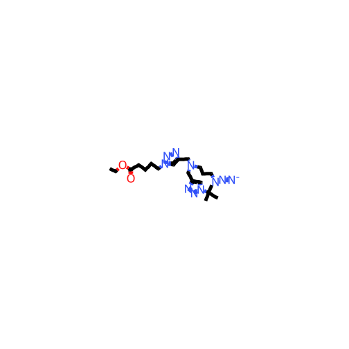 CCOC(=O)CCCCn1cc(CN(CCCN=[N+]=[N-])Cc2cn(C(C)(C)C)nn2)nn1